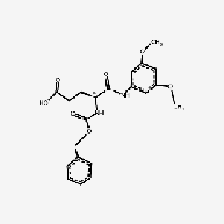 COc1cc(NC(=O)[C@H](CCC(=O)O)NC(=O)OCc2ccccc2)cc(OC)c1